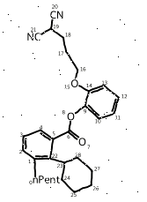 CCCCCc1cccc(C(=O)Oc2ccccc2OCCCC(C#N)C#N)c1C1CCCCC1